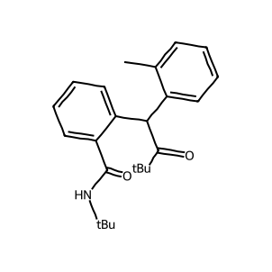 Cc1ccccc1C(C(=O)C(C)(C)C)c1ccccc1C(=O)NC(C)(C)C